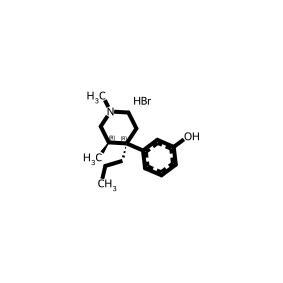 Br.CCC[C@@]1(c2cccc(O)c2)CCN(C)C[C@@H]1C